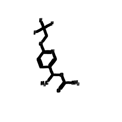 CC(OC(N)=O)c1ccc(OCC(F)(F)F)nc1